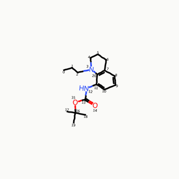 CCCN1CCCc2cccc(NC(=O)OC(C)(C)C)c21